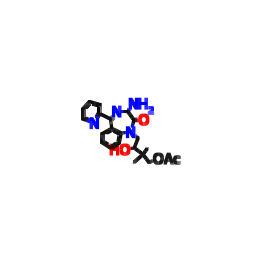 CC(=O)OCC(C)(C)C(O)CN1C(=O)[C@H](N)N=C(c2ccccn2)c2ccccc21